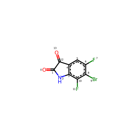 O=C1Nc2c(cc(F)c(Br)c2F)C1=O